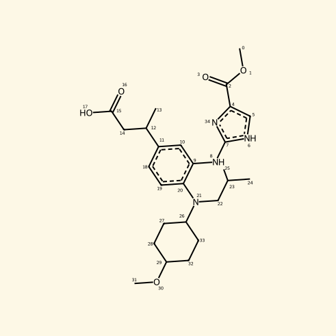 COC(=O)c1c[nH]c(Nc2cc(C(C)CC(=O)O)ccc2N(CC(C)C)C2CCC(OC)CC2)n1